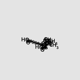 COc1cc(C2SC[C@@H](C(=O)O)N2C(=O)CCCCCCCCCCC(=O)O)cc(OC)c1OC